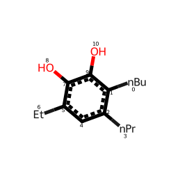 CCCCc1c(CCC)cc(CC)c(O)c1O